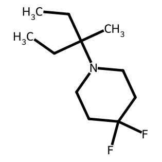 CCC(C)(CC)N1CCC(F)(F)CC1